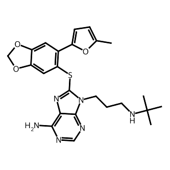 Cc1ccc(-c2cc3c(cc2Sc2nc4c(N)ncnc4n2CCCNC(C)(C)C)OCO3)o1